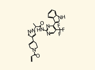 C=CC(=O)N1CC=C(c2cnn(C(C)C(=O)Nc3ncc(C(F)(F)F)c(-c4c[nH]c5ccccc45)n3)c2)CC1